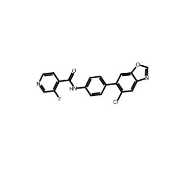 O=C(Nc1ccc(-c2cc3ocnc3cc2Cl)cc1)c1ccncc1F